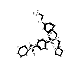 CCOc1ccc(CN(CC2CCCO2)S(=O)(=O)c2ccc(S(=O)(=O)N3CCCCC3)cc2)cc1